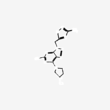 Cc1noc(Cn2nnc3c(N4CC[C@H](O)C4)nc(C(C)(C)C)nc32)n1